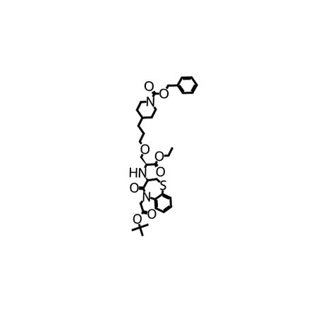 CCOC(=O)[C@H](COCCCC1CCN(C(=O)OCc2ccccc2)CC1)N[C@H]1CSc2ccccc2N(CC(=O)OC(C)(C)C)C1=O